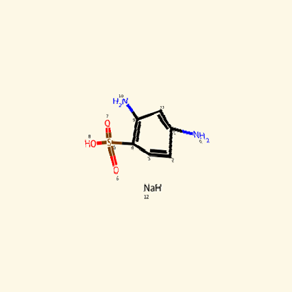 Nc1ccc(S(=O)(=O)O)c(N)c1.[NaH]